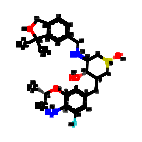 C[C@@H](Oc1cc(C[C@@H]2C[S@@+]([O-])C[C@H](NCc3ccc4c(c3)C(C)(C)OC4)[C@H]2O)cc(F)c1N)C(F)(F)F